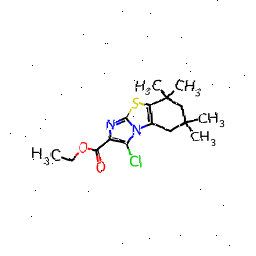 CCOC(=O)c1nc2sc3c(n2c1Cl)CC(C)(C)CC3(C)C